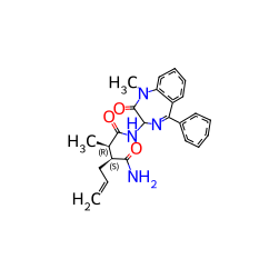 C=CC[C@H](C(N)=O)[C@@H](C)C(=O)NC1N=C(c2ccccc2)c2ccccc2N(C)C1=O